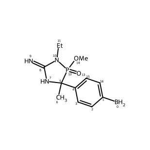 Bc1ccc(C2(C)NC(=N)N(CC)P2(=O)OC)cc1